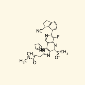 CN(C)C(=O)CCc1nc2c([S+](C)[O-])nc3c(F)c(-c4cccc5c4C(C#N)CC5)ncc3c2n1C1C2CNC1C2